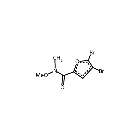 CON(C)C(=O)c1cc(Br)c(Br)o1